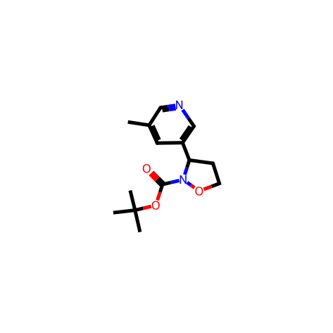 Cc1cncc(C2CCON2C(=O)OC(C)(C)C)c1